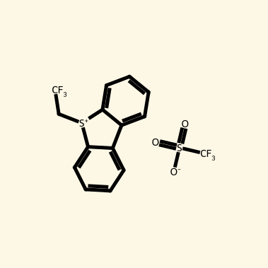 FC(F)(F)C[s+]1c2ccccc2c2ccccc21.O=S(=O)([O-])C(F)(F)F